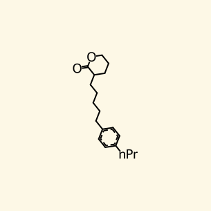 CCCc1ccc(CCCCCC2CCCOC2=O)cc1